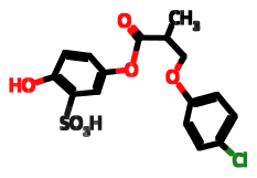 CC(COc1ccc(Cl)cc1)C(=O)Oc1ccc(O)c(S(=O)(=O)O)c1